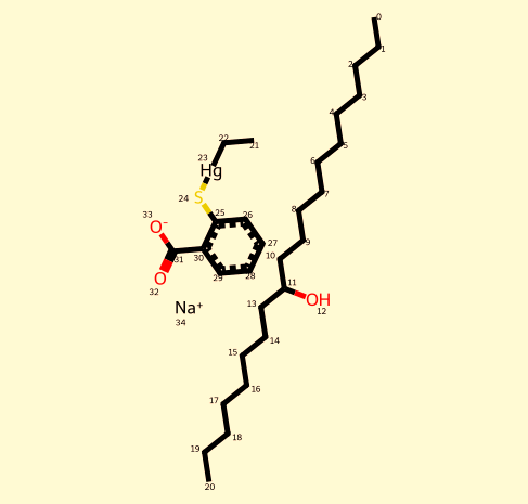 CCCCCCCCCCCC(O)CCCCCCCC.C[CH2][Hg][S]c1ccccc1C(=O)[O-].[Na+]